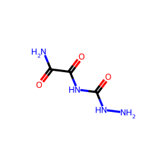 NNC(=O)NC(=O)C(N)=O